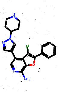 Nc1ncc(-c2cnn(C3CCNCC3)c2)c2c(Cl)c(-c3ccccc3)oc12